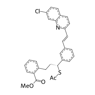 COC(=O)c1ccccc1CC[C@@H](SC(C)=O)c1cccc(C=Cc2ccc3ccc(Cl)cc3n2)c1